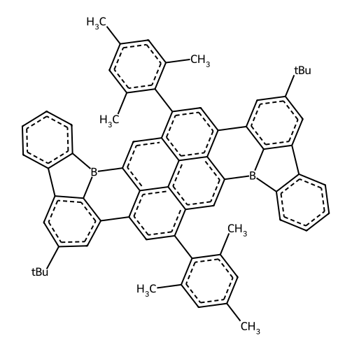 Cc1cc(C)c(-c2cc3c4c(cc5c(-c6c(C)cc(C)cc6C)cc6c7c(cc2c4c57)B2c4ccccc4-c4cc(C(C)(C)C)cc-6c42)B2c4ccccc4-c4cc(C(C)(C)C)cc-3c42)c(C)c1